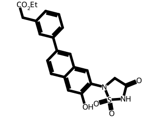 CCOC(=O)Cc1cccc(-c2ccc3cc(O)c(N4CC(=O)NS4(=O)=O)cc3c2)c1